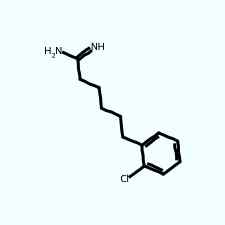 N=C(N)CCCCCc1ccccc1Cl